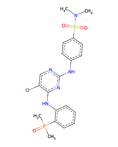 CN(C)S(=O)(=O)c1ccc(Nc2ncc(Cl)c(Nc3ccccc3P(C)(C)=O)n2)cc1